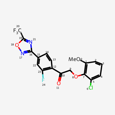 COc1cccc(Cl)c1OCC(=O)c1ccc(-c2noc(C(F)(F)F)n2)cc1F